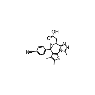 Cc1sc2c(c1C)C(c1ccc(C#N)cc1)=N[C@@H](CC(=O)O)c1nnc(C)n1-2